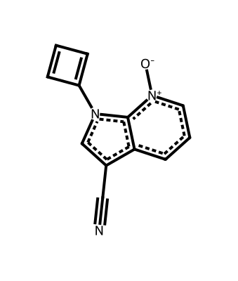 N#Cc1cn(C2=CC=C2)c2c1ccc[n+]2[O-]